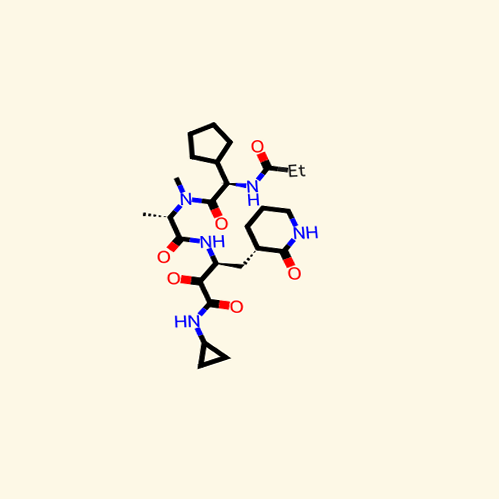 CCC(=O)N[C@@H](C(=O)N(C)[C@@H](C)C(=O)N[C@@H](C[C@@H]1CCCNC1=O)C(=O)C(=O)NC1CC1)C1CCCC1